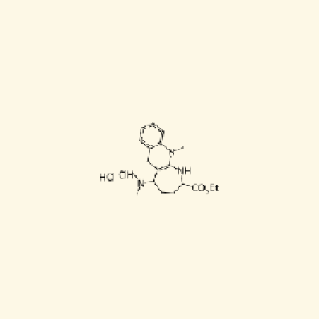 CCOC(=O)C1CCC(N(C)C)C2=C(N1)N(C)c1ccccc1C2.Cl.Cl